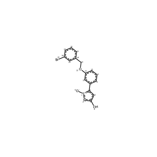 [O-][s+]1nc(O)cc1-c1cccc(OCc2cccc(Br)c2)c1